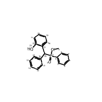 COP(=O)(c1ccccc1)C(c1ccccc1)c1ccccc1O